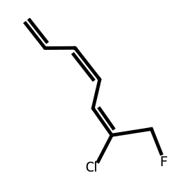 C=C/C=C\C=C(\Cl)CF